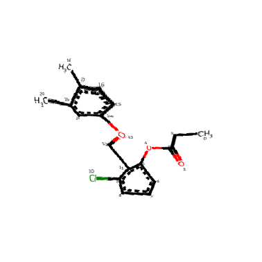 CCC(=O)Oc1cccc(Cl)c1COc1ccc(C)c(C)c1